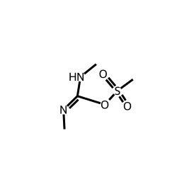 CN=C(NC)OS(C)(=O)=O